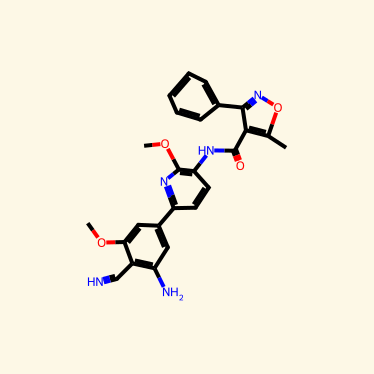 COc1cc(-c2ccc(NC(=O)c3c(-c4ccccc4)noc3C)c(OC)n2)cc(N)c1C=N